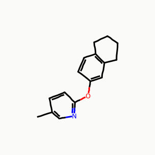 Cc1ccc(Oc2ccc3c(c2)CCCC3)nc1